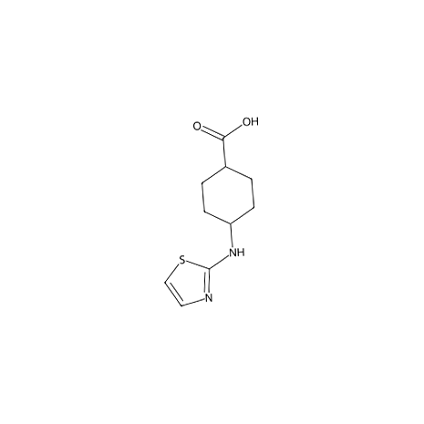 O=C(O)C1CCC(Nc2nccs2)CC1